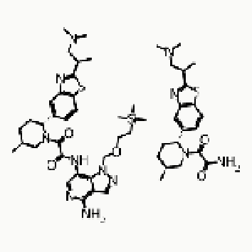 CC(CN(C)C)c1nc2cc([C@H]3CC[C@H](C)CN3C(=O)C(=O)Nc3cnc(N)c4cnn(COCC[Si](C)(C)C)c34)ccc2s1.CC(CN(C)C)c1nc2cc([C@H]3CC[C@H](C)CN3C(=O)C(N)=O)ccc2s1